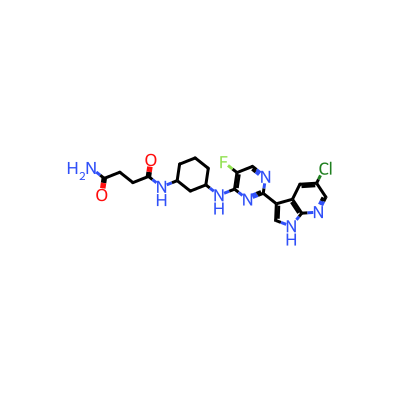 NC(=O)CCC(=O)NC1CCCC(Nc2nc(-c3c[nH]c4ncc(Cl)cc34)ncc2F)C1